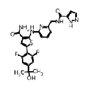 CC(C)(O)c1cc(F)c(-c2cc(C(N)=O)c(Nc3cccc(CNC(=O)c4ccn[nH]4)n3)s2)c(F)c1